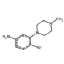 CN1CCN(c2cc(N)ccc2Br)CC1